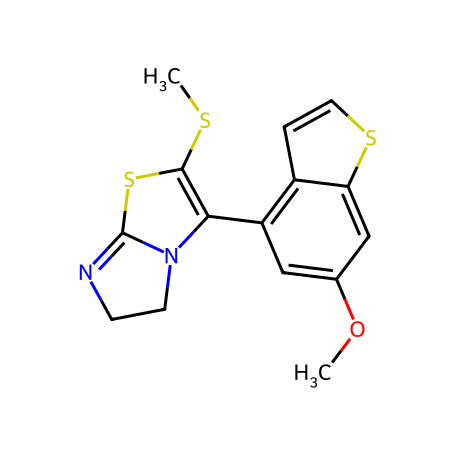 COc1cc(C2=C(SC)SC3=NCCN32)c2ccsc2c1